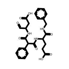 O=CC(CC(=O)O)NC(=O)C(C(=O)NC(CCC(=O)O)C(=O)NCc1ccccc1)c1ccccc1